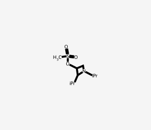 CC(C)C1C(OS(C)(=O)=O)CN1C(C)C